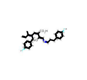 C=C/C(C)=C(/C=C(C(=O)O)\C(=C\N=C/CCc1ccc(F)cc1)OC)Cc1ccc(F)cc1